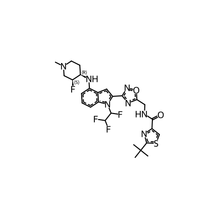 CN1CC[C@@H](Nc2cccc3c2cc(-c2noc(CNC(=O)c4csc(C(C)(C)C)n4)n2)n3C(F)C(F)F)[C@@H](F)C1